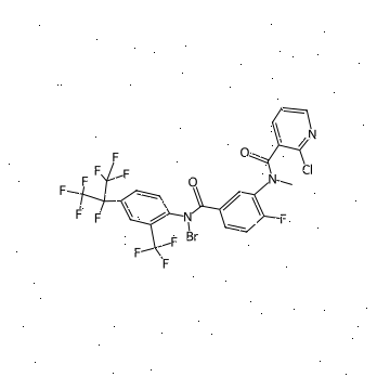 CN(C(=O)c1cccnc1Cl)c1cc(C(=O)N(Br)c2ccc(C(F)(C(F)(F)F)C(F)(F)F)cc2C(F)(F)F)ccc1F